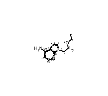 CCO[C@H](C)Cn1cnc2c(N)ccnc21